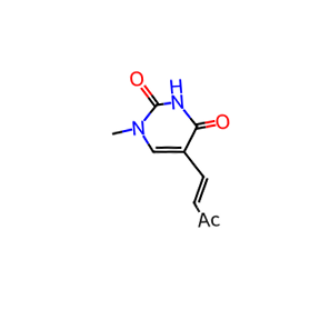 CC(=O)/C=C/c1cn(C)c(=O)[nH]c1=O